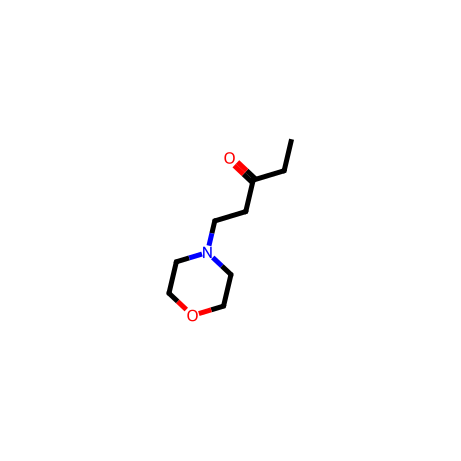 CCC(=O)CCN1CCOCC1